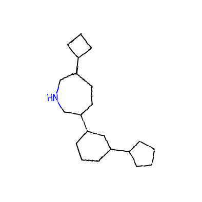 C1CC(C2CCC(C3CCCC(C4CCCC4)C3)CNC2)C1